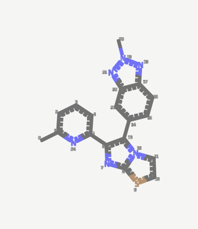 Cc1cccc(-c2nc3sccn3c2-c2ccc3nn(C)nc3c2)n1